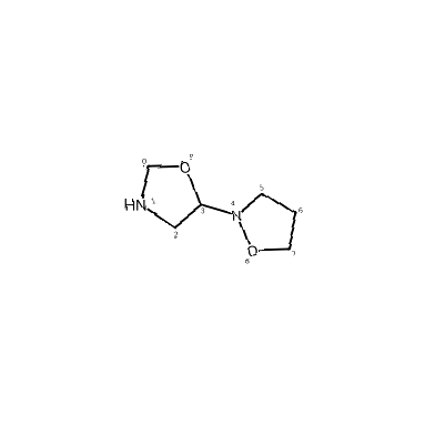 [CH]1NCC(N2CCCO2)O1